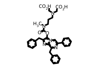 CN(CCCN(CC(=O)O)CC(=O)O)C(=O)Oc1c(Cc2ccccc2)nc2c(Cc3ccccc3)nc(-c3ccccc3)cn12